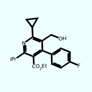 CCOC(=O)c1c(C(C)C)nc(C2CC2)c(CO)c1-c1ccc(F)cc1